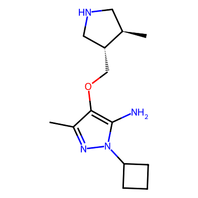 Cc1nn(C2CCC2)c(N)c1OC[C@@H]1CNC[C@H]1C